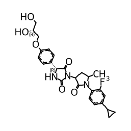 CC1CC(N2C(=O)N[C@H](c3ccc(OC[C@H](O)CO)cc3)C2=O)C(=O)N1c1ccc(C2CC2)cc1F